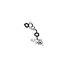 C[C@@H](NS(C)(=O)=O)c1ccc(CNC[C@H]2COc3ccccc3O2)cc1